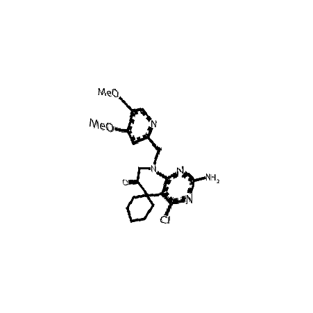 COc1cnc(CN2CC(=O)C3(CCCCC3)c3c(Cl)nc(N)nc32)cc1OC